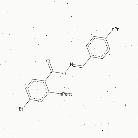 CCCCCc1cc(CC)ccc1C(=O)ON=Cc1ccc(CCC)cc1